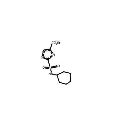 CCOC(=O)c1csc(S(=O)(=O)NC2CCCCC2)n1